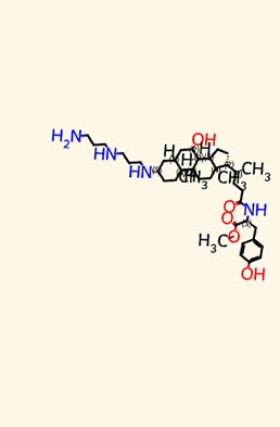 COC(=O)[C@H](Cc1ccc(O)cc1)NC(=O)CC[C@@H](C)[C@H]1CC[C@H]2[C@@H]3[C@H](O)C[C@@H]4C[C@@H](NCCCNCCCN)CC[C@]4(C)[C@H]3CC[C@]12C